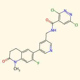 CN1C(=O)CCc2cc(-c3cncc(CNC(=O)c4cc(Cl)nnc4Cl)c3)c(F)cc21